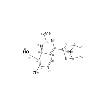 CSc1nc(N2CC3CCC(C2)N3)c2cnc(Cl)c(CO)c2n1